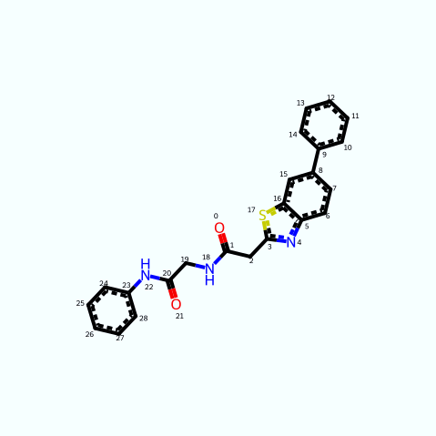 O=C(Cc1nc2ccc(-c3ccccc3)cc2s1)NCC(=O)Nc1ccccc1